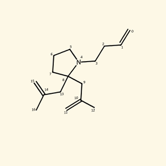 C=CCCN1CCCC1(CC(=C)C)CC(=C)C